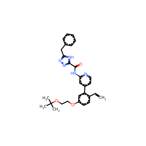 C=Cc1ccc(OCCOC(C)(C)C)cc1-c1ccnc(NC(=O)c2nnc(Cc3ccccc3)[nH]2)c1